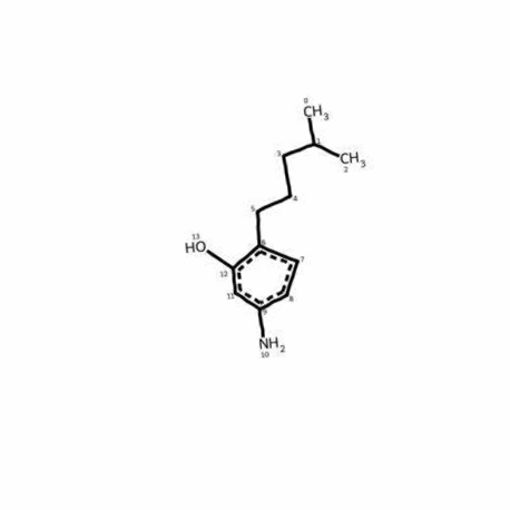 CC(C)CCCc1ccc(N)cc1O